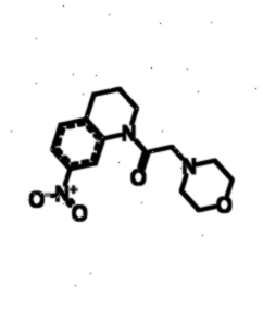 O=C(CN1CCOCC1)N1CCCc2ccc([N+](=O)[O-])cc21